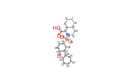 O=C(O)C1C2CCCCC2CCN1S(=O)(=O)c1ccc2oc3ccccc3c2c1